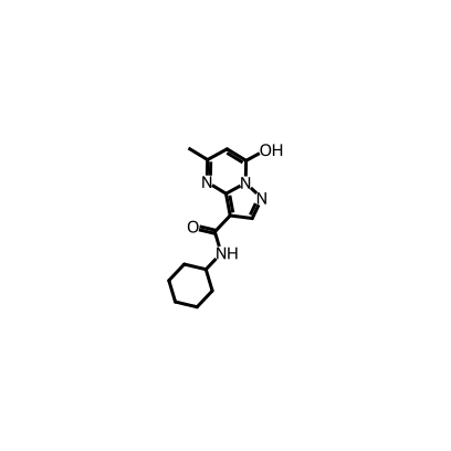 Cc1cc(O)n2ncc(C(=O)NC3CCCCC3)c2n1